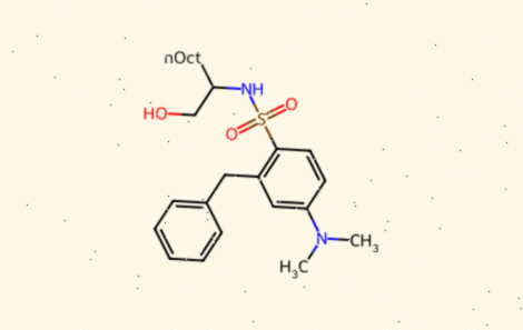 CCCCCCCCC(CO)NS(=O)(=O)c1ccc(N(C)C)cc1Cc1ccccc1